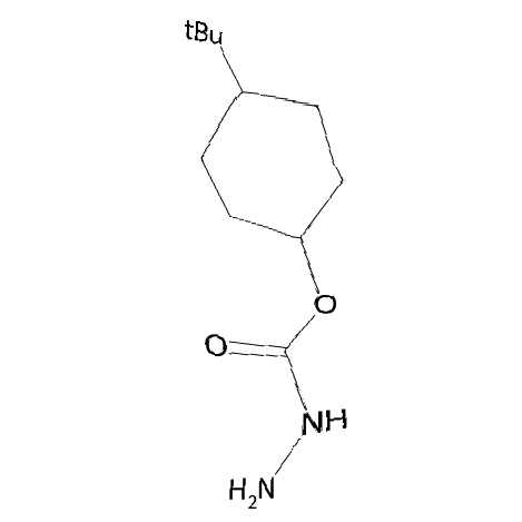 CC(C)(C)C1CCC(OC(=O)NN)CC1